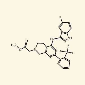 COC(=O)CN1CCc2c(nc(-c3ccccc3C(F)(F)F)nc2Nc2n[nH]c3ccc(F)cc23)C1